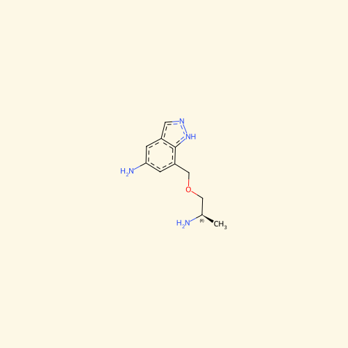 C[C@@H](N)COCc1cc(N)cc2cn[nH]c12